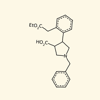 CCOC(=O)Cc1ccccc1C1CN(Cc2ccccc2)CC1C(=O)O